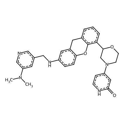 CN(C)c1cncc(CNc2ccc3c(c2)Cc2cccc(C4CN(c5cc[nH]c(=O)c5)CCO4)c2O3)c1